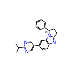 CC(C)c1ncc(-c2ccc3nc4n(c3c2)[C@@H](c2ccccc2)CC4)cn1